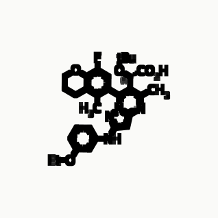 CCOc1cccc(Nc2cc3nc(C)c([C@H](OC(C)(C)C)C(=O)O)c(-c4cc(F)c5c(c4C)CCCO5)n3n2)c1